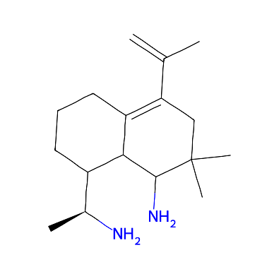 C=C(C)C1=C2CCCC([C@H](C)N)C2C(N)C(C)(C)C1